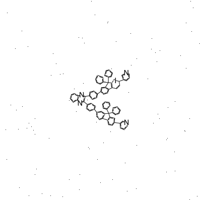 CC1=C(/C=C\C(I)c2cccnc2)c2ccc(-c3ccc(-c4nc5ccccc5nc4-c4ccc(-c5ccc6c(c5)C(c5ccccc5)(c5ccccc5)c5cc(-c7cccnc7)ccc5-6)cc4)cc3)cc2C1(c1ccccc1)c1ccccc1